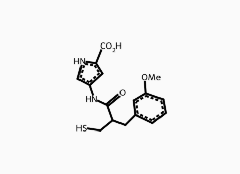 COc1cccc(CC(CS)C(=O)Nc2c[nH]c(C(=O)O)c2)c1